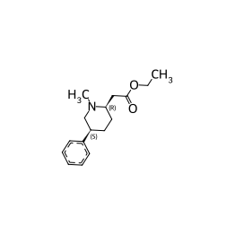 CCOC(=O)C[C@H]1CC[C@@H](c2ccccc2)CN1C